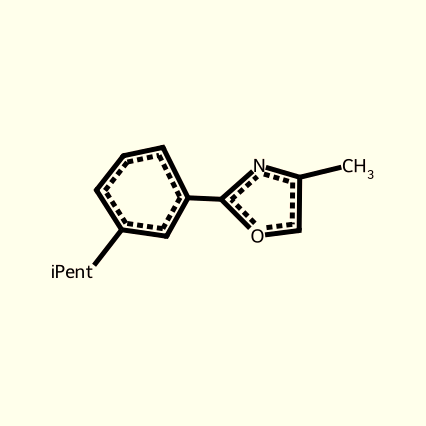 CCCC(C)c1cccc(-c2nc(C)co2)c1